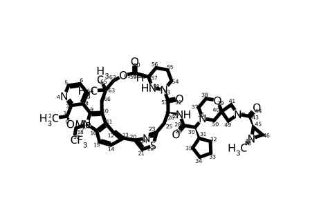 CO[C@@H](C)c1ncccc1-c1c2c3cc(ccc3n1CC(F)(F)F)-c1csc(n1)C[C@H](NC(=O)[C@H](C1CCCC1)N1CCOC3(CN(C(=O)[C@H]4CN4C)C3)C1)C(=O)N1CCC[C@H](N1)C(=O)OCC(C)(C)C2